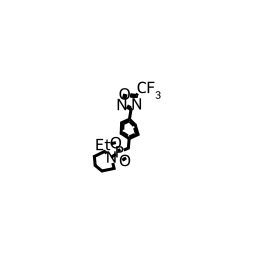 CCOP(=O)(Cc1ccc(-c2noc(C(F)(F)F)n2)cc1)N1CCCCC1